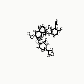 C#Cc1c(F)ccc(Nc2ncnc3cc(OC)c(O[C@@H]4CCN(C5COC5)CC4(F)F)cc23)c1F